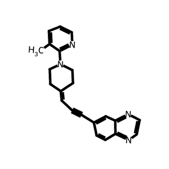 Cc1cccnc1N1CCC(=CC#Cc2ccc3nccnc3c2)CC1